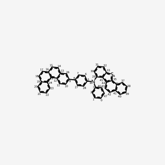 c1ccc(N(c2ccc(-c3ccc4c(ccc5ccc6ccccc6c54)c3)cc2)c2cccc3sc4c5ccccc5ccc4c23)cc1